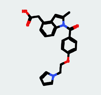 Cc1cc2c(CC(=O)O)cccc2n1C(=O)c1ccc(OCCn2cccc2)cc1